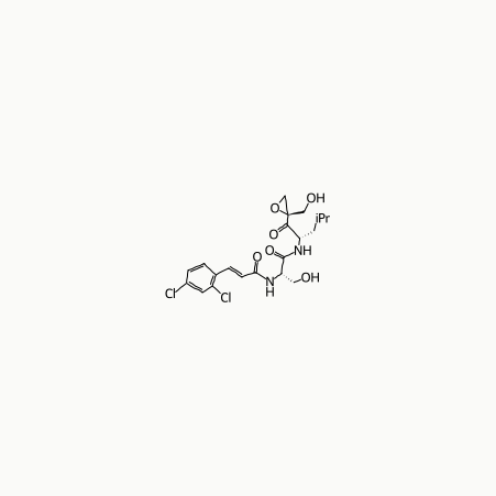 CC(C)C[C@H](NC(=O)[C@H](CO)NC(=O)/C=C/c1ccc(Cl)cc1Cl)C(=O)[C@@]1(CO)CO1